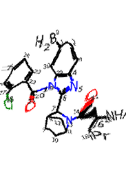 Bc1ccc2nc(C3C4CCC(C4)N3C(=O)C(NC(C)=O)C(C)C)n(C(=O)c3ccccc3Cl)c2c1